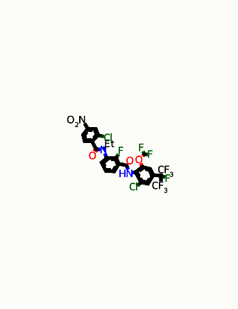 CCN(C(=O)c1ccc([N+](=O)[O-])cc1Cl)c1cccc(C(=O)Nc2c(Cl)cc(C(F)(C(F)(F)F)C(F)(F)F)cc2OC(F)F)c1F